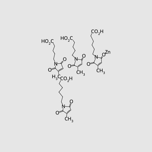 CC1=CC(=O)N(CCCCC(=O)O)C1=O.CC1=CC(=O)N(CCCCC(=O)O)C1=O.CC1=CC(=O)N(CCCCCC(=O)O)C1=O.CC1=CC(=O)N(CCCCCC(=O)O)C1=O.[Zn]